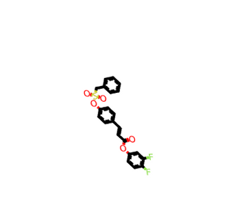 O=C(/C=C/c1ccc(OS(=O)(=O)Cc2ccccc2)cc1)Oc1ccc(F)c(F)c1